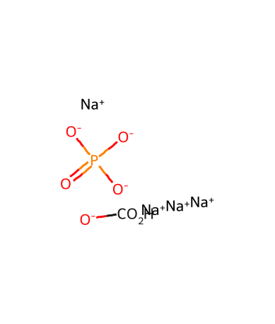 O=C([O-])O.O=P([O-])([O-])[O-].[Na+].[Na+].[Na+].[Na+]